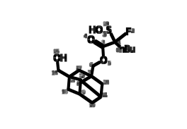 CCCCC(F)(C(=O)OCC12CC3CC(CC(CO)(C3)C1)C2)S(=O)(=O)O